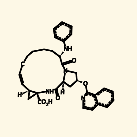 O=C1N[C@]2(C(=O)O)C[C@H]2/C=C\CCCCC[C@H](Nc2ccccc2)C(=O)N2C[C@H](Oc3nccc4ccccc34)C[C@@H]12